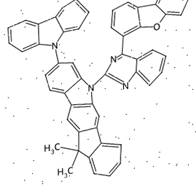 CC1(C)c2ccccc2-c2cc3c(cc21)c1ccc(-n2c4ccccc4c4ccccc42)cc1n3-c1nc(-c2cccc3c2oc2ccccc23)c2ccccc2n1